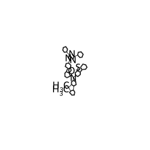 CC1(C)c2ccccc2-c2ccc(N(c3ccc4c(c3)sc3ccccc34)c3cccc4c3oc3cc(-c5nc(-c6ccccc6)nc(-c6ccccc6)n5)ccc34)cc21